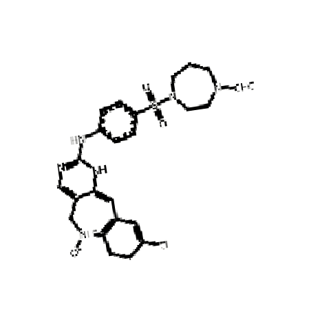 O=CN1CCCN(S(=O)(=O)c2ccc(NC3=NC=C4C[NH+]([O-])C5=C(C=C(Cl)CC5)C=C4N3)cc2)CC1